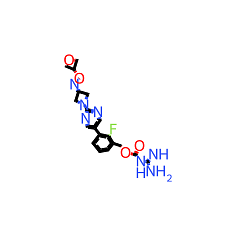 N=C(N)NC(=O)OCc1cccc(-c2cnc(N3CC(=NOC4COC4)C3)nc2)c1F